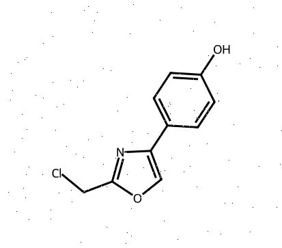 Oc1ccc(-c2coc(CCl)n2)cc1